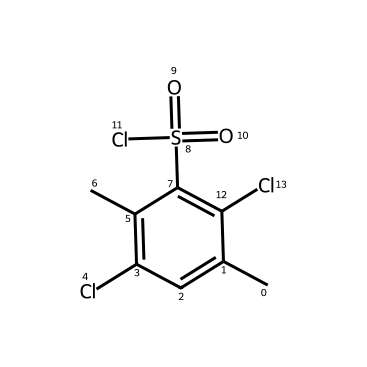 Cc1cc(Cl)c(C)c(S(=O)(=O)Cl)c1Cl